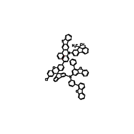 CC1(C)c2ccccc2-c2ccc(N(c3ccc(-c4ccc5c(c4)Oc4ccc(Cl)cc4C54c5ccccc5-c5cc(N(c6cccc(-c7cccc8c7oc7ccccc78)c6)c6cc(-c7ccccc7)c7oc8ccccc8c7c6)ccc54)cc3)c3cc4c(cc3-c3ccccc3)sc3ccccc34)cc21